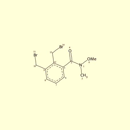 CON(C)C(=O)c1cccc(CBr)c1CBr